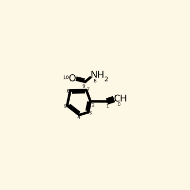 C#Cc1ccccc1.NC=O